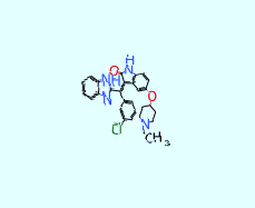 CCN1CCC(Oc2ccc3c(c2)C(=C(c2cccc(Cl)c2)c2nc4ccccc4[nH]2)C(=O)N3)CC1